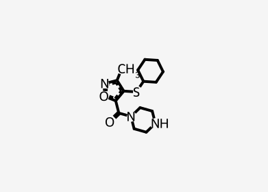 Cc1noc(C(=O)N2CCNCC2)c1SC1CCCCC1